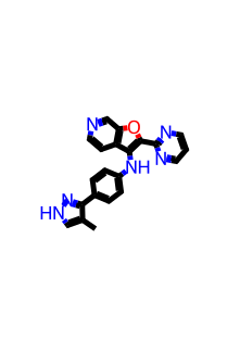 Cc1c[nH]nc1-c1ccc(Nc2c(-c3ncccn3)oc3cnccc23)cc1